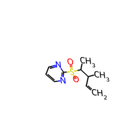 C=CC(C)C(C)S(=O)(=O)c1ncccn1